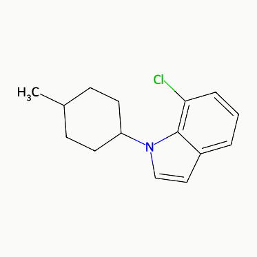 CC1CCC(n2ccc3cccc(Cl)c32)CC1